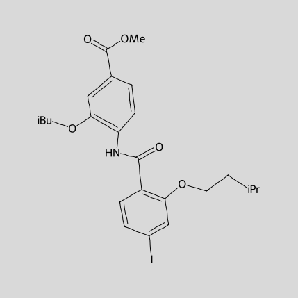 CCC(C)Oc1cc(C(=O)OC)ccc1NC(=O)c1ccc(I)cc1OCCC(C)C